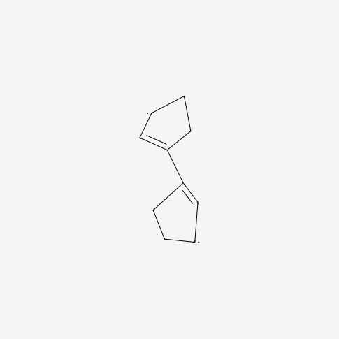 [CH]1C=C(C2=C[CH]CC2)CC1